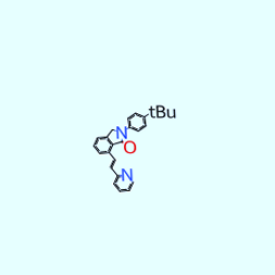 CC(C)(C)c1ccc(N2Cc3cccc(/C=C/c4ccccn4)c3C2=O)cc1